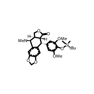 CN[C@@H]1c2cc3c(cc2[C@@H](c2cc(OC)c(O[Si](C)(C)C(C)(C)C)c(OC)c2)[C@H]2C(=O)OC[C@@H]21)OCO3